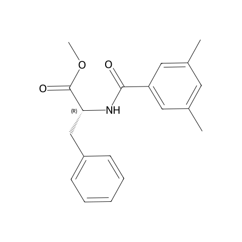 COC(=O)[C@@H](Cc1ccccc1)NC(=O)c1cc(C)cc(C)c1